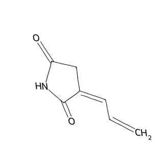 C=CC=C1CC(=O)NC1=O